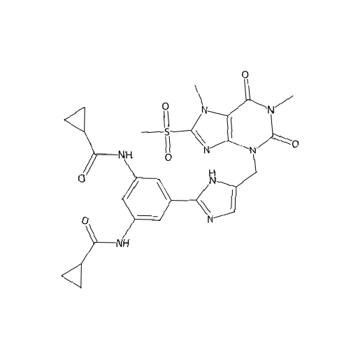 Cn1c(=O)c2c(nc(S(C)(=O)=O)n2C)n(Cc2cnc(-c3cc(NC(=O)C4CC4)cc(NC(=O)C4CC4)c3)[nH]2)c1=O